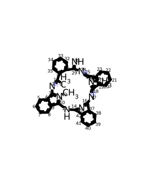 C/C1=N\c2c3ccccc3c(n2C)NC2N=C(/N=c3/c4ccccc4/c(n3C)=N/C(=N)c3ccccc31)c1ccccc12